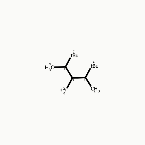 CCCC(C(C)C(C)(C)C)C(C)C(C)(C)C